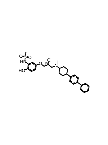 CS(=O)(=O)Nc1cc(OC[C@@H](O)CNC2CCC(c3ccc(-c4ccccc4)cc3)CC2)ccc1O